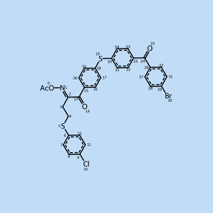 CC(=O)O/N=C(\CCSc1ccc(Cl)cc1)C(=O)c1ccc(Sc2ccc(C(=O)c3ccc(Br)cc3)cc2)cc1